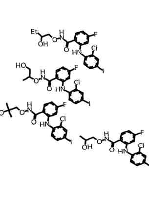 CC(C)(O)CONC(=O)c1ccc(F)cc1Nc1ccc(I)cc1Cl.CC(CO)ONC(=O)c1ccc(F)cc1Nc1ccc(I)cc1Cl.CC(O)CONC(=O)c1ccc(F)cc1Nc1ccc(I)cc1Cl.CCC(O)CONC(=O)c1ccc(F)cc1Nc1ccc(I)cc1Cl